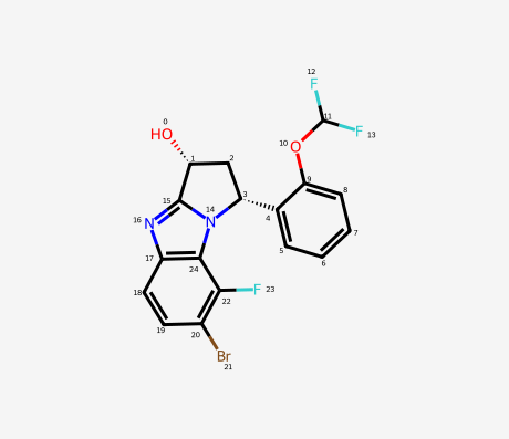 O[C@@H]1C[C@H](c2ccccc2OC(F)F)n2c1nc1ccc(Br)c(F)c12